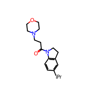 CC(C)c1ccc2c(c1)CCN2C(=O)CCN1CCOCC1